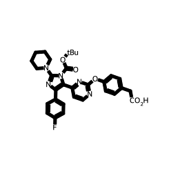 CC(C)(C)OC(=O)n1c(N2CCCCC2)nc(-c2ccc(F)cc2)c1-c1ccnc(Oc2ccc(CC(=O)O)cc2)n1